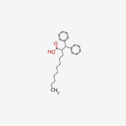 CCCCCCCCCC(C(=O)O)C(c1ccccc1)c1ccccc1